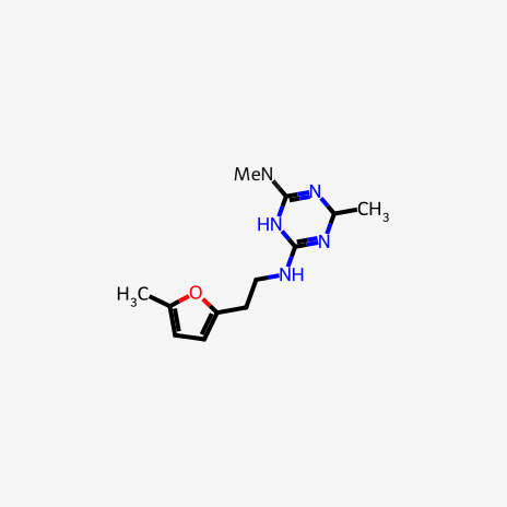 CNC1=NC(C)N=C(NCCc2ccc(C)o2)N1